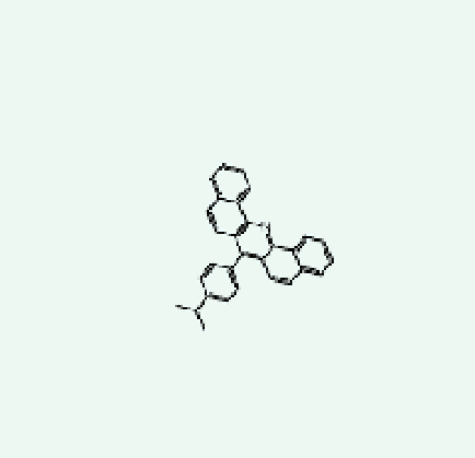 CC(C)c1ccc(-c2c3ccc4ccccc4c3nc3c2ccc2ccccc23)cc1